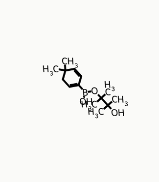 CC1(C)C=CC(B(O)OC(C)(C)C(C)(C)O)=CC1